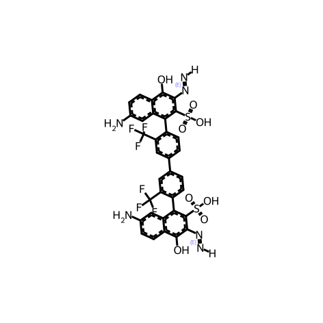 [H]/N=N/c1c(S(=O)(=O)O)c(-c2ccc(-c3ccc(-c4c(S(=O)(=O)O)c(/N=N/[H])c(O)c5ccc(N)cc45)c(C(F)(F)F)c3)cc2C(F)(F)F)c2cc(N)ccc2c1O